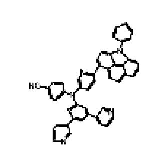 N#Cc1ccc(N(c2ccc(-c3ccc4c5c3ccc3cccc(c35)n4-c3ccccc3)nc2)c2cc(-c3cccnc3)cc(-c3cccnc3)c2)cc1